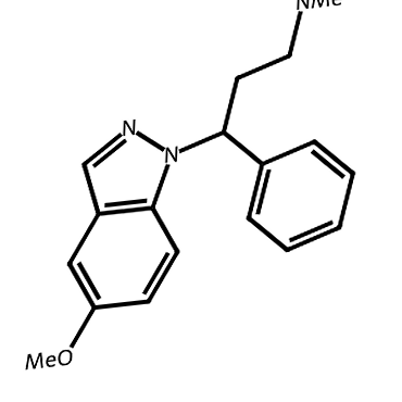 CNCCC(c1ccccc1)n1ncc2cc(OC)ccc21